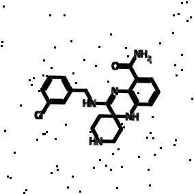 NC(=O)c1cccc2c1N=C(NCc1cccc(Cl)c1)C1(CCNCC1)N2